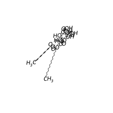 CC#CC#CC#CC#CC(=O)OC[C@H](COP(=O)(O)OC1C(O)[C@H](O)[C@H](OP(=O)(O)O)C(OP(=O)(O)O)[C@@H]1O)OC(=O)CCCCCCCCCCCCCCC